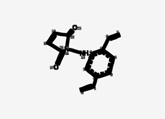 C=Cc1ccc(C=C)cc1.NN1C(=O)C=CC1=O